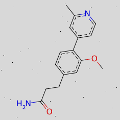 COc1cc(CCC(N)=O)ccc1-c1ccnc(C)c1